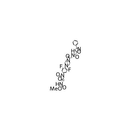 COC(=O)NC[C@H]1CN(c2cc(F)c(N3CCN(C(=O)CNC(=O)c4cc(-c5ccccc5)no4)CC3)c(F)c2)C(=O)O1